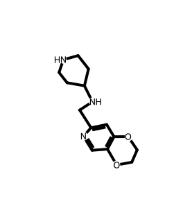 c1nc(CNC2CCNCC2)cc2c1OCCO2